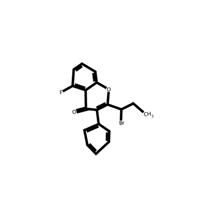 CCC(Br)c1oc2cccc(F)c2c(=O)c1-c1ccccc1